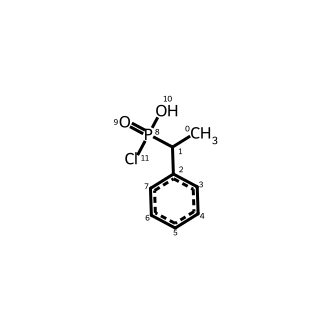 CC(c1ccccc1)P(=O)(O)Cl